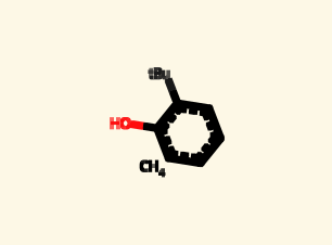 C.CC(C)(C)c1ccccc1O